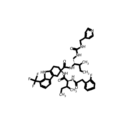 CCC(C)[C@H](NC(=O)Cc1ccccc1F)C(=O)N[C@]1(C(=O)N[C@H](CNC(=O)NCc2ccncc2)C(C)CC)CCc2[nH]c3c(C(F)(F)F)cccc3c2C1